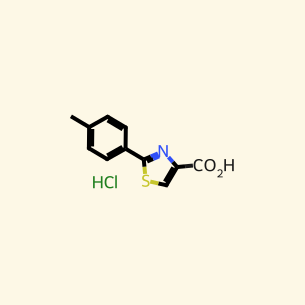 Cc1ccc(-c2nc(C(=O)O)cs2)cc1.Cl